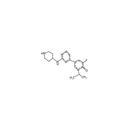 CC(C)n1cc(-c2ccnc(NC3CCNCC3)n2)cc(F)c1=O